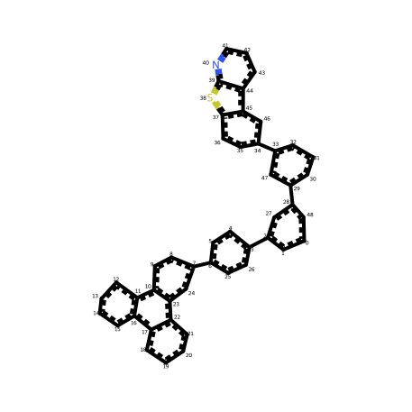 c1cc(-c2ccc(-c3ccc4c5ccccc5c5ccccc5c4c3)cc2)cc(-c2cccc(-c3ccc4sc5ncccc5c4c3)c2)c1